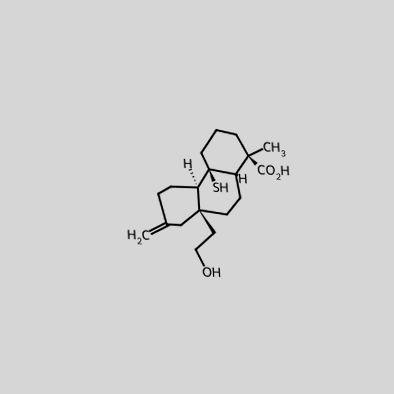 C=C1CC[C@@H]2[C@](CCO)(CC[C@H]3[C@@]2(S)CCC[C@@]3(C)C(=O)O)C1